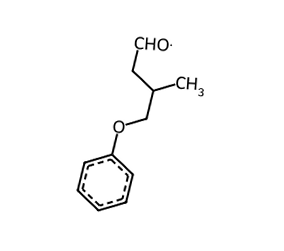 CC(C[C]=O)COc1ccccc1